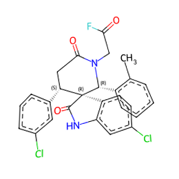 Cc1ccccc1[C@H]1N(CC(=O)F)C(=O)C[C@@H](c2cccc(Cl)c2)[C@]12C(=O)Nc1cc(Cl)ccc12